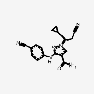 N#CCC(C1CC1)n1cc(C(N)=O)c(Nc2ccc(C#N)cc2)n1